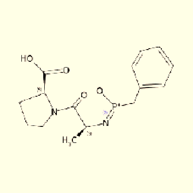 C[C@H](/N=[P+](\[O-])Cc1ccccc1)C(=O)N1CCC[C@H]1C(=O)O